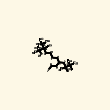 CC(F)(CC(CCI)CCCCC(F)(C(F)(F)F)C(F)(F)F)C(F)(F)F